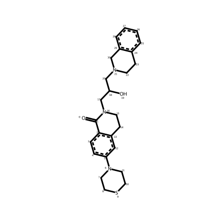 O=C1c2ccc(N3CCSCC3)cc2CCN1CC(O)CN1CCc2ccccc2C1